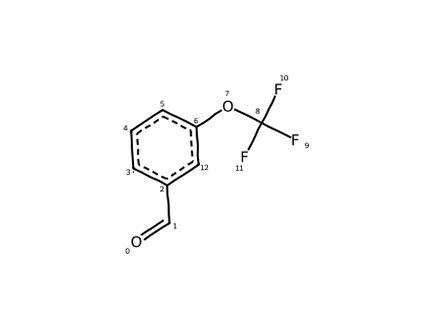 O=Cc1[c]ccc(OC(F)(F)F)c1